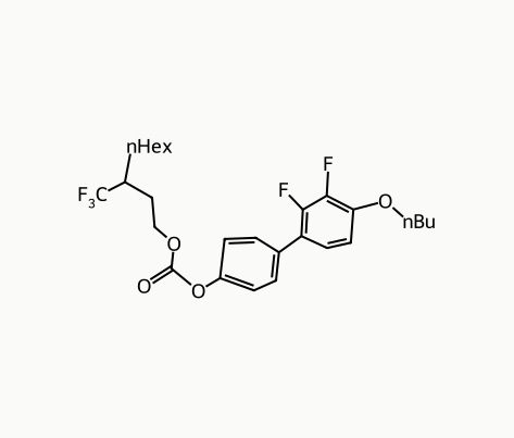 CCCCCCC(CCOC(=O)Oc1ccc(-c2ccc(OCCCC)c(F)c2F)cc1)C(F)(F)F